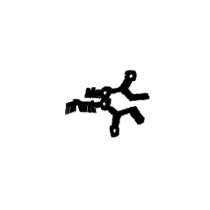 C=CC(=O)OC.C=CC(=O)OCCCCC